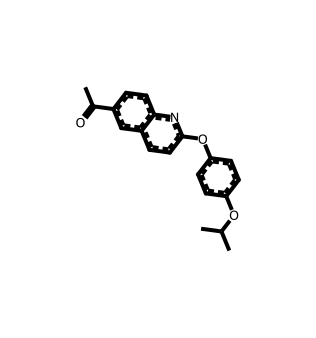 CC(=O)c1ccc2nc(Oc3ccc(OC(C)C)cc3)ccc2c1